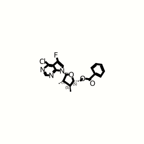 C[C@H]1[C@H](C)[C@@H](COC(=O)c2ccccc2)O[C@H]1n1cc(F)c2c(Cl)ncnc21